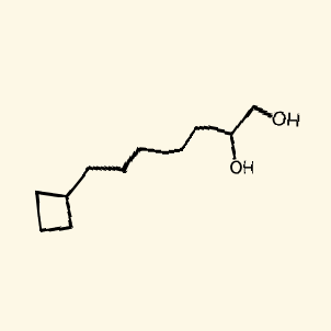 OCC(O)CCCCCC1CCC1